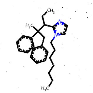 CCCCCCCn1ccnc1C(CC)C(C)(Cc1ccccc1)c1ccccc1